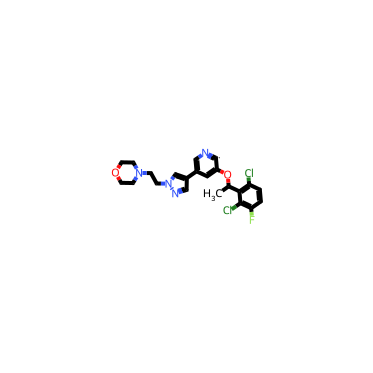 CC(Oc1[c]ncc(-c2cnn(CCN3CCOCC3)c2)c1)c1c(Cl)ccc(F)c1Cl